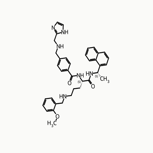 COc1ccccc1CNCCC[C@H](NC(=O)c1ccc(CNCc2ncc[nH]2)cc1)C(=O)N[C@@H](C)c1cccc2ccccc12